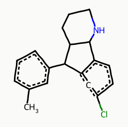 Cc1cccc(C2c3cc(Cl)ccc3C3NCCCC32)c1